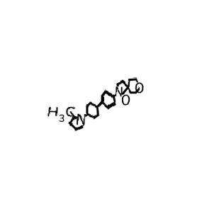 C[C@@H]1CCCN1C1CCC(c2ccc(N3CCC4(CCOCC4)C3=O)cc2)CC1